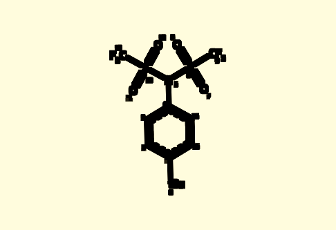 CC(C)(C)c1ccc(N(S(=O)(=O)C(F)(F)F)S(=O)(=O)C(F)(F)F)cc1